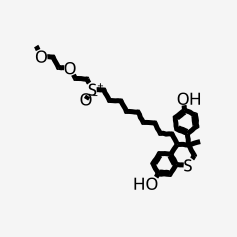 COCCOCC[S+]([O-])CCCCCCCCCC1c2ccc(O)cc2SCC1(C)c1ccc(O)cc1